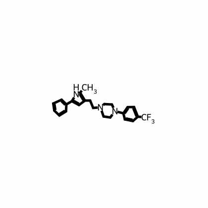 Cc1[nH]c(-c2ccccc2)cc1CCN1CCN(c2ccc(C(F)(F)F)cc2)CC1